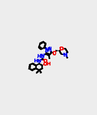 Cc1c(OC[C@H]2CN(C)CCO2)nn(-c2ccccc2)c1NC(=O)N[C@@H]1c2ccccc2C(C)(C)C[C@H]1O